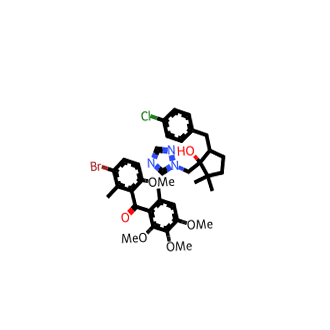 CC1(C)CCC(Cc2ccc(Cl)cc2)C1(O)Cn1cncn1.COc1cc(C)c(C(=O)c2c(OC)ccc(Br)c2C)c(OC)c1OC